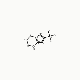 CC(C)(C)c1cc2c(s1)CCCO2